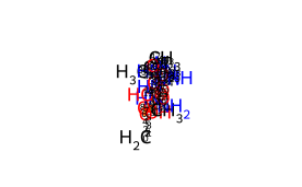 C=CCCCCOP(=O)(O)O[C@H](C)[C@H](NC(=O)[C@H](CO)NC(=O)[C@H](Cc1cnc[nH]1)NC(=O)[C@H](CC(C)C)NC(=O)[C@@H]1CCCN1C(C)=O)C(N)=O